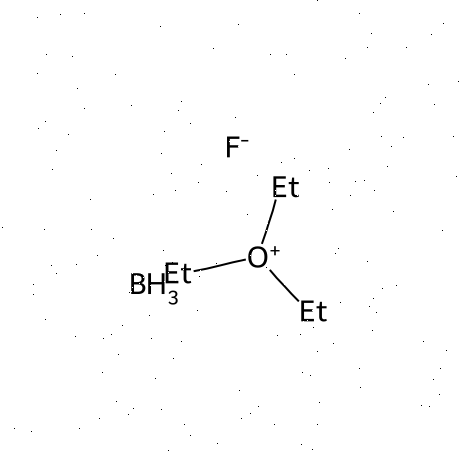 B.CC[O+](CC)CC.[F-]